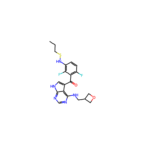 CCCSNc1ccc(F)c(C(=O)c2c[nH]c3ncnc(NCC4COC4)c23)c1F